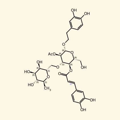 CC(=O)O[C@H]1[C@H](OCCc2ccc(O)c(O)c2)O[C@H](CO)[C@@H](OC(=O)/C=C/c2ccc(O)c(O)c2)[C@@H]1OC[C@@H]1O[C@@H](C)[C@H](O)[C@@H](O)[C@H]1O